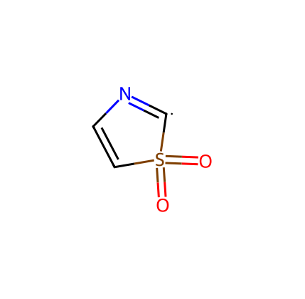 O=S1(=O)[C]=NC=C1